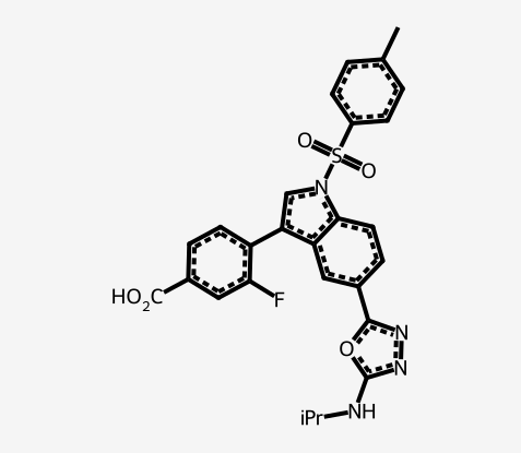 Cc1ccc(S(=O)(=O)n2cc(-c3ccc(C(=O)O)cc3F)c3cc(-c4nnc(NC(C)C)o4)ccc32)cc1